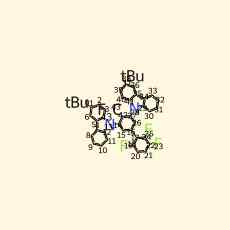 CC(C)(C)c1ccc2c(c1)c1ccccc1n2-c1cc(-c2c(F)ccc(F)c2F)cc(-n2c3ccccc3c3cc(C(C)(C)C)ccc32)c1C(F)(F)F